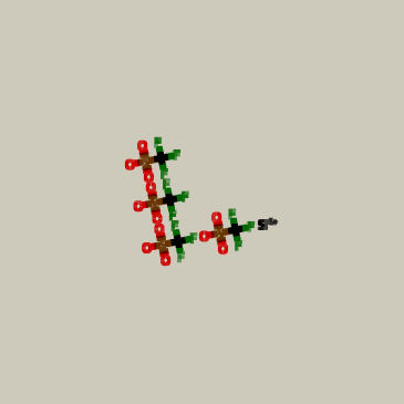 O=S(=O)([O-])C(F)(F)F.O=S(=O)([O-])C(F)(F)F.O=S(=O)([O-])C(F)(F)F.O=S(=O)([O-])C(F)(F)F.[Si+4]